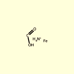 O=[C-]O.[Fe].[NH4+]